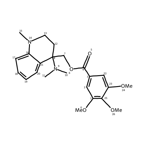 COc1cc(C(=O)OCC2(N(C)C)CCN(C)c3ccccc32)cc(OC)c1OC